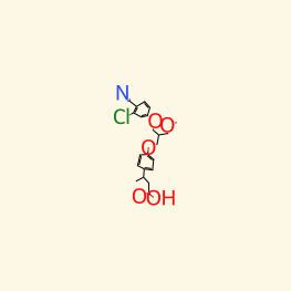 COCC(COc1ccc(C(C)CC(=O)O)cc1)COc1ccc(C#N)c(Cl)c1